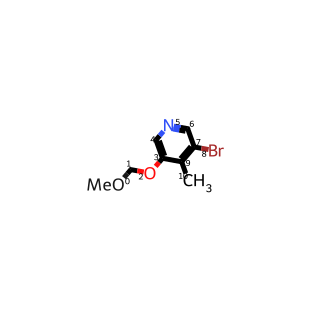 COCOc1cncc(Br)c1C